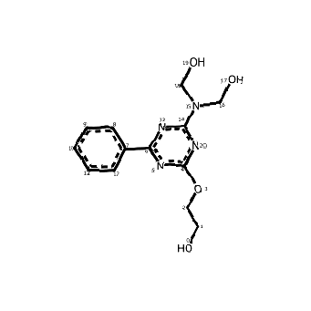 OCCOc1nc(-c2ccccc2)nc(N(CO)CO)n1